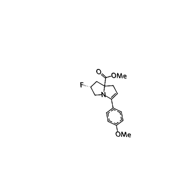 COC(=O)C12CC=C(c3ccc(OC)cc3)N1C[C@H](F)C2